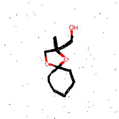 CC1(CO)COC2(CCCCC2)O1